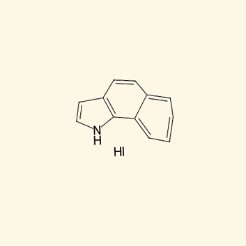 I.c1ccc2c(c1)ccc1cc[nH]c12